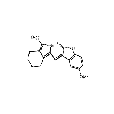 CCOC(=O)c1[nH]c(C=C2C(=O)Nc3ccc(OC)cc32)c2c1CCCC2